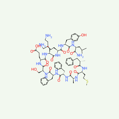 CSCC[C@H](NC(=O)[C@@H](C)Cc1ccccc1)C(=O)N[C@@H](C)C(=O)N[C@@H](Cc1ccccc1)C(=O)N[C@@H](Cc1ccccc1)C(=O)N[C@@H](CO)C(=O)N[C@@H](CCC(=O)O)C(=O)N[C@@H](CCCCN)C(=O)N[C@@H](CCCCN)C(=O)N[C@@H](Cc1ccc(O)cc1)C(=O)N[C@@H](CC(C)C)C(N)=O